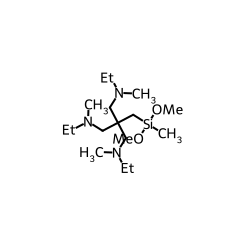 CCN(C)CC(CN(C)CC)(CN(C)CC)C[Si](C)(OC)OC